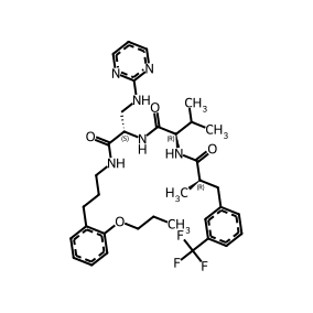 CCCOc1ccccc1CCCNC(=O)[C@H](CNc1ncccn1)NC(=O)[C@H](NC(=O)[C@H](C)Cc1cccc(C(F)(F)F)c1)C(C)C